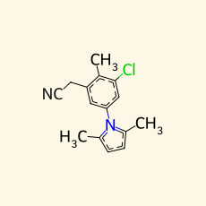 Cc1c(Cl)cc(-n2c(C)ccc2C)cc1CC#N